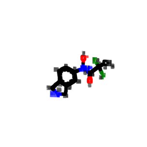 CC(F)(F)C(=O)[NH+]([O-])c1ccc2c(c1)CNC2